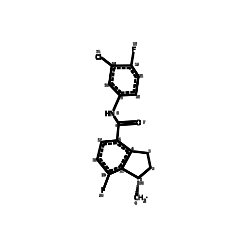 [CH2][C@H]1CCc2c(C(=O)Nc3ccc(F)c(Cl)c3)ccc(F)c21